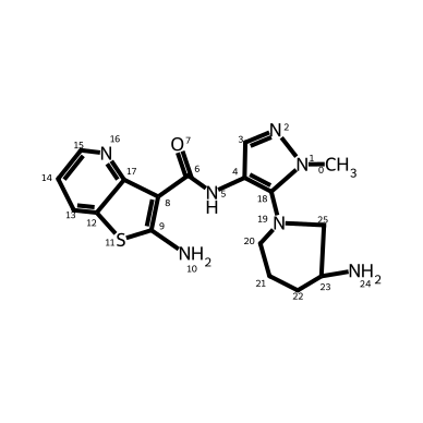 Cn1ncc(NC(=O)c2c(N)sc3cccnc23)c1N1CCCC(N)C1